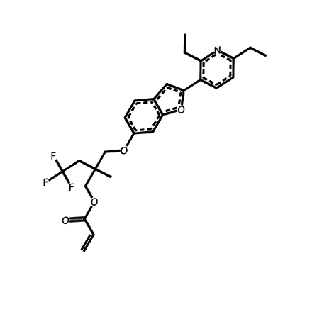 C=CC(=O)OCC(C)(COc1ccc2cc(-c3ccc(CC)nc3CC)oc2c1)CC(F)(F)F